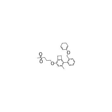 Cc1cc(OCCCS(C)(=O)=O)c2c(c1-c1ccccc1COC1=CCCC=C1)CC2